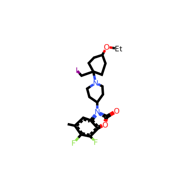 CCOC1CCC(CI)(N2CCC(n3c(=O)oc4c(F)c(F)c(C)cc43)CC2)CC1